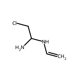 C=CNC(N)CCl